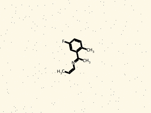 C/C=C\N=C(/C)c1cc(F)ccc1C